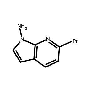 CC(C)c1ccc2ccn(N)c2n1